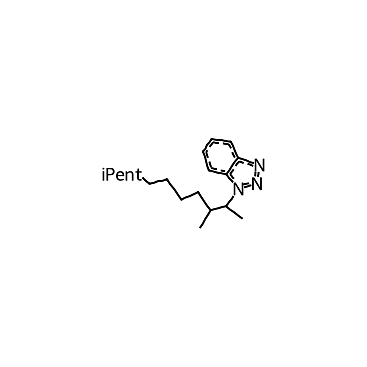 CCCC(C)CCCCC(C)C(C)n1nnc2ccccc21